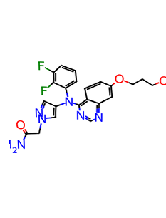 NC(=O)Cn1cc(N(c2cccc(F)c2F)c2ncnc3cc(OCCCO)ccc23)cn1